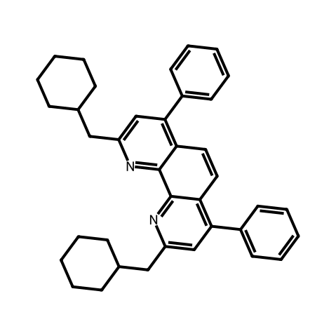 c1ccc(-c2cc(CC3CCCCC3)nc3c2ccc2c(-c4ccccc4)cc(CC4CCCCC4)nc23)cc1